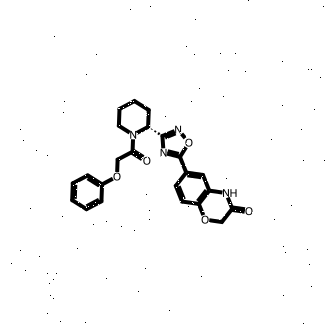 O=C1COc2ccc(-c3nc([C@H]4CCCCN4C(=O)COc4ccccc4)no3)cc2N1